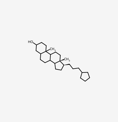 CC12CCC(O)CC1CCC1C2CC[C@@]2(C)C1CC[C@@H]2CCCC1CCCC1